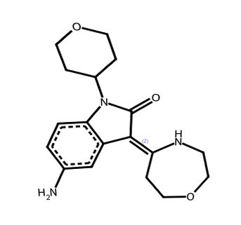 Nc1ccc2c(c1)/C(=C1\CCOCCN1)C(=O)N2C1CCOCC1